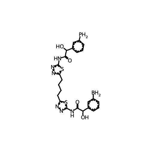 Bc1cccc(C(O)C(=O)Nc2nnc(CCCCc3nnc(NC(=O)C(O)c4cccc(P)c4)s3)s2)c1